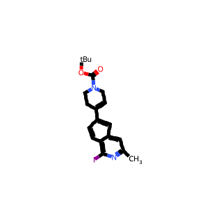 Cc1cc2cc(C3=CCN(C(=O)OC(C)(C)C)CC3)ccc2c(I)n1